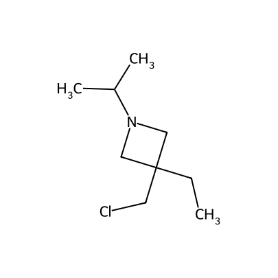 CCC1(CCl)CN(C(C)C)C1